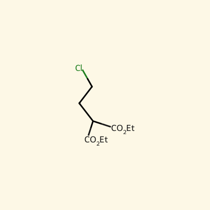 CCOC(=O)C(CCCl)C(=O)OCC